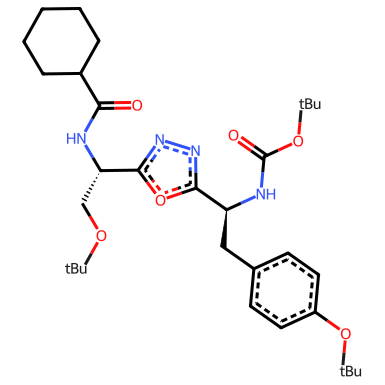 CC(C)(C)OC[C@H](NC(=O)C1CCCCC1)c1nnc([C@H](Cc2ccc(OC(C)(C)C)cc2)NC(=O)OC(C)(C)C)o1